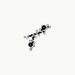 COOc1cccc(C(=O)NCCC(=O)N(CCCN)CCNC(=O)CCn2c(=O)oc3c(OC(=O)OC)cccc3c2=O)c1OC